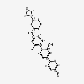 Cc1cc(N[C@H]2CCCN(C3COC3)C2)nnc1-c1ccc(-c2ccc(F)cc2)cc1O